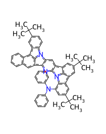 CC(C)(C)c1ccc2c(c1)c1c3ccccc3cc3c4nc5c(cc4n2c31)c1cc(C(C)(C)C)cc2c3cc(C(C)(C)C)cc(N(c4ccccc4)c4ccccc4)c3n5c12